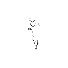 NNC(=C[N+](=O)[O-])NCCCCc1c[nH]cn1